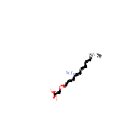 CCCCCCCCCCCCCCCCCCOCC(O)O.N